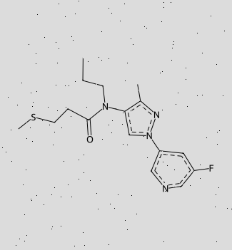 CCCN(C(=O)CCSC)c1cn(-c2cncc(F)c2)nc1C